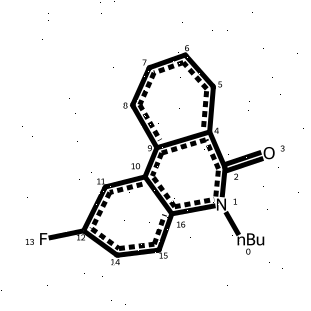 CCCCn1c(=O)c2ccccc2c2cc(F)ccc21